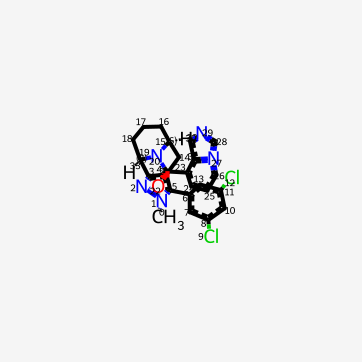 Cn1nc2c(c1-c1cc(Cl)cc(Cl)c1)C[C@@H]1CCC[C@H]2N1C(=O)c1cccn2cncc12